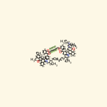 C=C(C(=O)c1cc2c3cc(C(=O)c4ccccc4OCC(F)(F)C(F)(F)C(F)(F)C(F)(F)COc4ccccc4C(=O)c4ccc5c(c4)c4cc(C(=O)c6c(C)cc(C)cc6C)c6ccccc6c4n5CC(CC)CCCC)ccc3n(CC(CC)CCCC)c2c2ccccc12)/C(C)=C\C(C)=C/CC